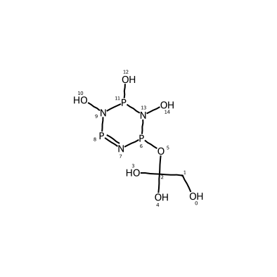 OCC(O)(O)Op1npn(O)p(O)n1O